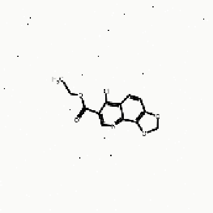 CCOC(=O)c1cnc2c3c(ccc2c1Cl)OCO3